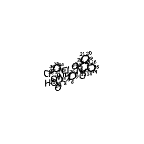 O=C(N[C@@H](Cc1ccc(-n2c(=O)c3ccccc3c3ccccc3c2=O)cc1)C(=O)O)c1c(Cl)cccc1Cl